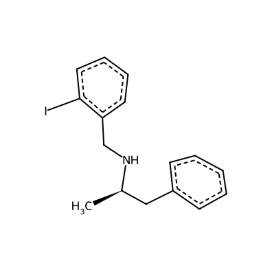 C[C@H](Cc1ccccc1)NCc1ccccc1I